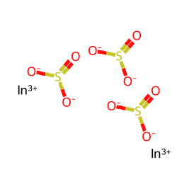 O=S([O-])[O-].O=S([O-])[O-].O=S([O-])[O-].[In+3].[In+3]